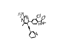 CNC(=O)c1ccc(-c2nc(N)nc(C)c2C#Cc2cccnc2)cc1Cl